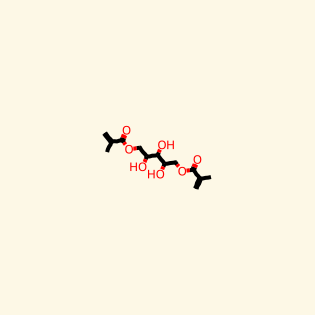 C=C(C)C(=O)OCC(O)C(O)C(O)COC(=O)C(=C)C